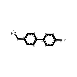 CC(C)c1ccc(-c2ccc(CO)cc2)cc1